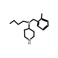 CCCCN(Cc1ccccc1C)C1CCNCC1